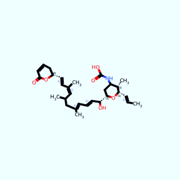 C/C=C/[C@@H]1O[C@H](C(O)/C=C/C=C(\C)CC(C)/C=C(C)\C=C\[C@H]2CC=CC(=O)O2)CC(NC(=O)O)[C@@H]1C